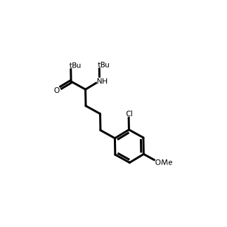 COc1ccc(CCCC(NC(C)(C)C)C(=O)C(C)(C)C)c(Cl)c1